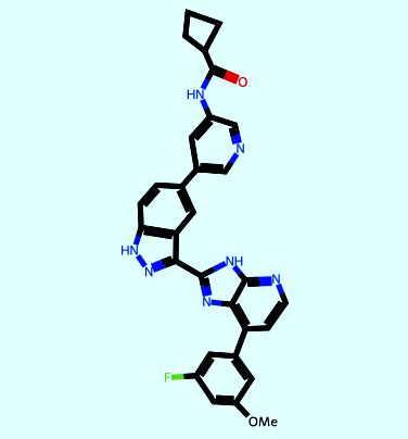 COc1cc(F)cc(-c2ccnc3[nH]c(-c4n[nH]c5ccc(-c6cncc(NC(=O)C7CCC7)c6)cc45)nc23)c1